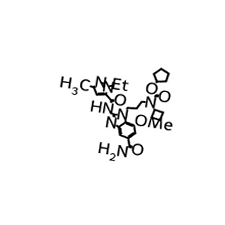 CCn1nc(C)cc1C(=O)Nc1nc2cc(C(N)=O)cc(OC)c2n1CCCN(C(=O)OC1CCCC1)C1CCC1